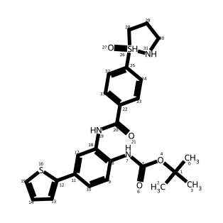 CC(C)(C)OC(=O)Nc1ccc(-c2cccs2)cc1NC(=O)c1ccc([SH]2(=O)CCCN2)cc1